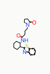 O=C(CCCN1CCCC1=O)NC1CCCCC1c1nc2ccccc2s1